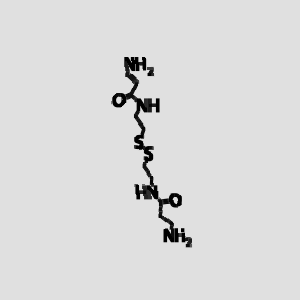 NC=CC(=O)NCCSSCCNC(=O)CCN